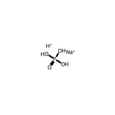 O=P(O)(O)O.[H+].[Na+]